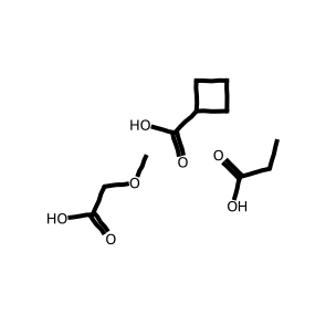 CCC(=O)O.COCC(=O)O.O=C(O)C1CCC1